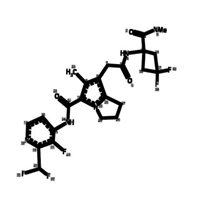 CNC(=O)C1(NC(=O)Cc2c(C)c(C(=O)Nc3ccnc(C(F)F)c3F)n3c2CCC3)CC(F)(F)C1